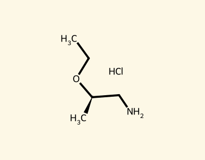 CCO[C@H](C)CN.Cl